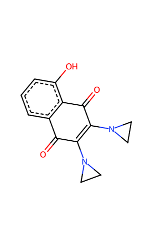 O=C1C(N2CC2)=C(N2CC2)C(=O)c2c(O)cccc21